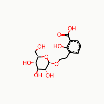 O=C(O)c1cccc(CCO[C@@H]2O[C@H](CO)[C@@H](O)[C@H](O)[C@H]2O)c1O